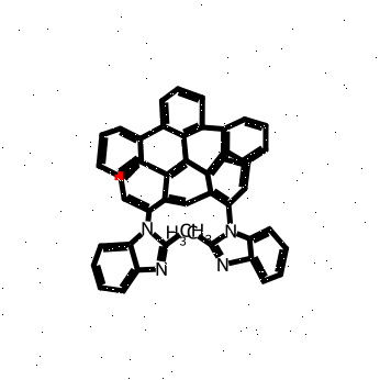 Cc1nc2ccccc2n1-c1cccc2c(-c3c(-c4ccccc4)cccc3-c3ccccc3)c3cccc(-n4c(C)nc5ccccc54)c3cc12